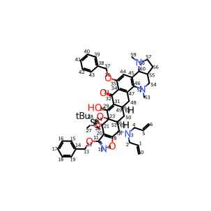 C=CCN(CC=C)[C@@H]1c2onc(OCc3ccccc3)c2C(=O)C2(O[Si](C)(C)C(C)(C)C)C(O)=C3C(=O)c4c(OCc5ccccc5)cc5c(c4C[C@H]3C[C@@H]12)N(C)CC1CCN(C)C51